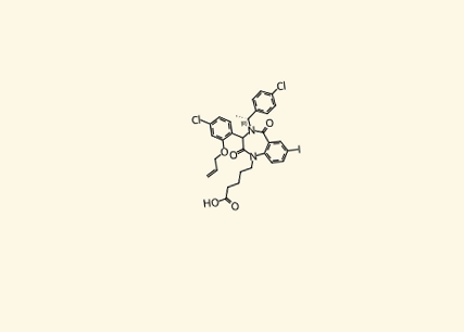 C=CCOc1cc(Cl)ccc1C1C(=O)N(CCCCC(=O)O)c2ccc(I)cc2C(=O)N1[C@H](C)c1ccc(Cl)cc1